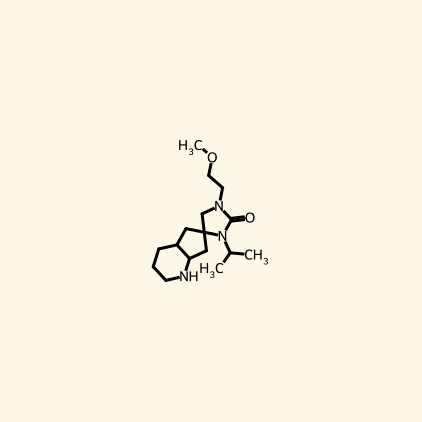 COCCN1CC2(CC3CCCNC3C2)N(C(C)C)C1=O